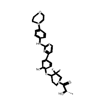 C[C@H](O)C(=O)N1CCC(Oc2ccc(-c3ccnc(Nc4ccc(N5CCOCC5)cc4)n3)cc2C#N)C(F)(F)C1